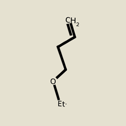 C=CCCO[CH]C